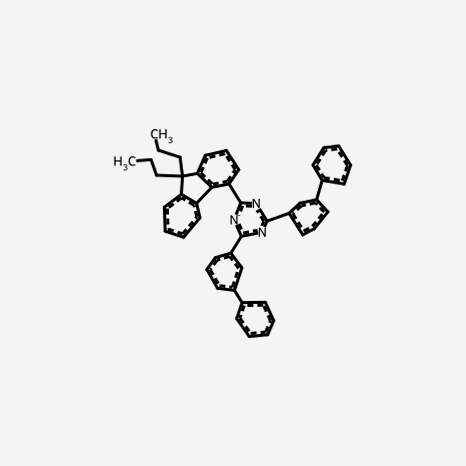 CCCC1(CCC)c2ccccc2-c2c(-c3nc(-c4cccc(-c5ccccc5)c4)nc(-c4cccc(-c5ccccc5)c4)n3)cccc21